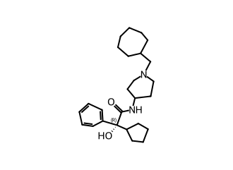 O=C(NC1CCN(CC2CCCCCC2)CC1)[C@](O)(c1ccccc1)C1CCCC1